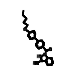 CCCCCOc1ccc(-c2ccc(C(=O)N3NN(O)c4ccccc43)cc2)cc1